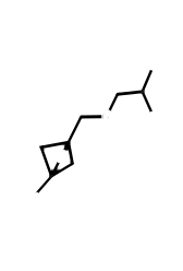 CC(C)CNCC12CC(F)(C1)C2